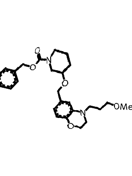 COCCCN1CCOc2ccc(COC3CCCN(C(=O)OCc4ccccc4)C3)cc21